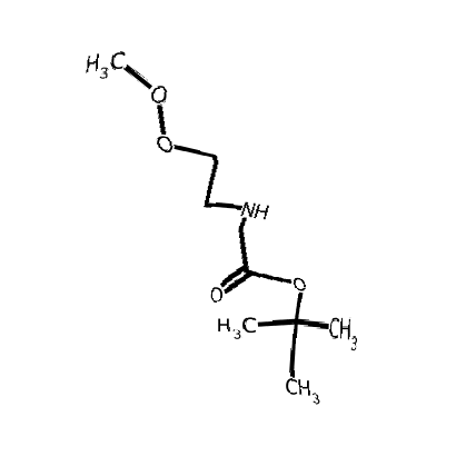 COOCCNC(=O)OC(C)(C)C